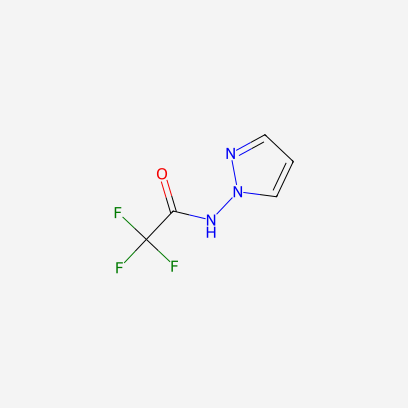 O=C(Nn1cccn1)C(F)(F)F